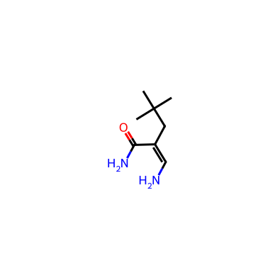 CC(C)(C)CC(=CN)C(N)=O